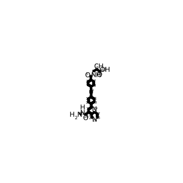 CC(CNC(=O)c1ccc(C#Cc2ccc(-c3cc(C(=O)NN)c4cnccc4n3)cc2)cc1)C(=O)O